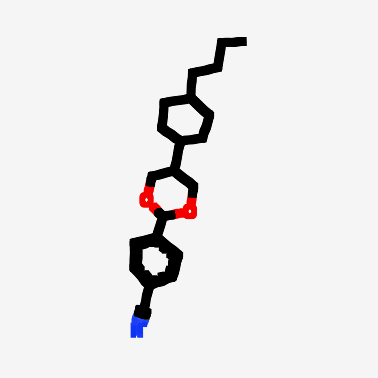 CCCCC1CCC(C2COC(c3ccc(C#N)cc3)OC2)CC1